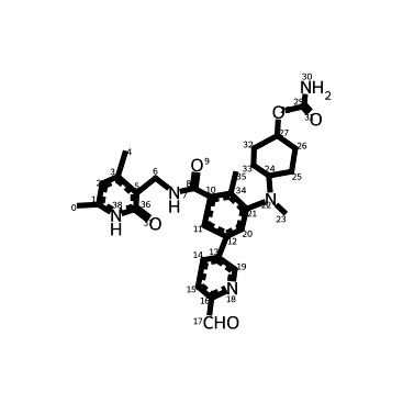 Cc1cc(C)c(CNC(=O)c2cc(-c3ccc(C=O)nc3)cc(N(C)C3CCC(OC(N)=O)CC3)c2C)c(=O)[nH]1